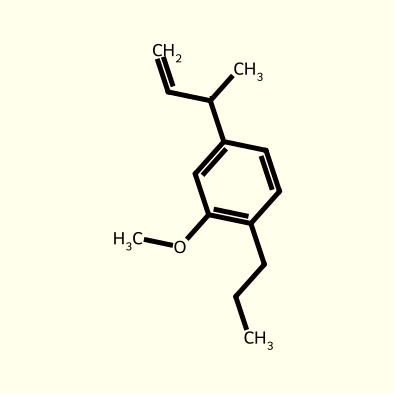 C=C[C](C)c1ccc(CCC)c(OC)c1